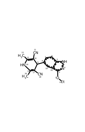 CCOc1n[nH]c2ccc(C3C(C#N)=C(C)NC(C)=C3C#N)cc12